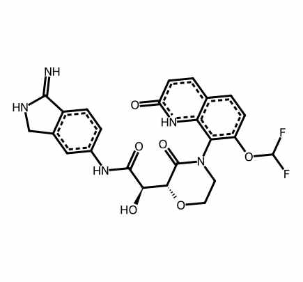 N=C1NCc2cc(NC(=O)[C@H](O)[C@H]3OCCN(c4c(OC(F)F)ccc5ccc(=O)[nH]c45)C3=O)ccc21